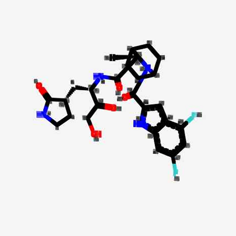 O=C1NCC[C@H]1C[C@H](NC(=O)[C@@H]1C2CCC(CC2)N1C(=O)c1cc2c(F)cc(F)cc2[nH]1)C(=O)CO